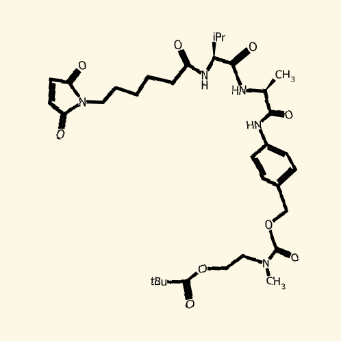 CC(C)[C@H](NC(=O)CCCCCN1C(=O)C=CC1=O)C(=O)N[C@@H](C)C(=O)Nc1ccc(COC(=O)N(C)CCOC(=O)C(C)(C)C)cc1